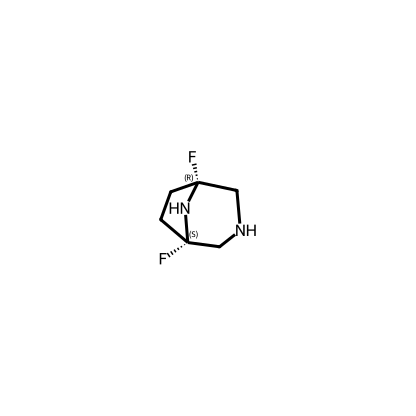 F[C@]12CC[C@](F)(CNC1)N2